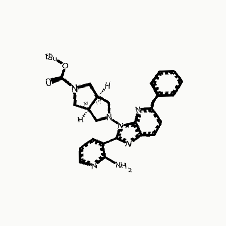 CC(C)(C)OC(=O)N1C[C@@H]2CN(n3c(-c4cccnc4N)nc4ccc(-c5ccccc5)nc43)C[C@@H]2C1